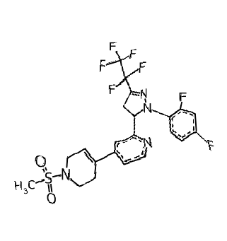 CS(=O)(=O)N1CC=C(c2ccnc(C3CC(C(F)(F)C(F)(F)F)=NN3c3ccc(F)cc3F)c2)CC1